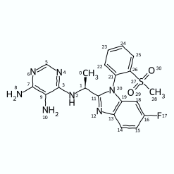 C[C@H](Nc1ncnc(N)c1N)c1nc2ccc(F)cc2n1-c1ccccc1S(C)(=O)=O